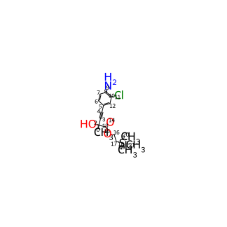 CC(O)(C#Cc1ccc(N)c(Cl)c1)C(=O)OCC[Si](C)(C)C